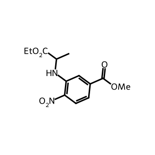 CCOC(=O)C(C)Nc1cc(C(=O)OC)ccc1[N+](=O)[O-]